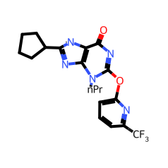 CCCn1c(Oc2cccc(C(F)(F)F)n2)nc(=O)c2c1N=C(C1CCCC1)[N]2